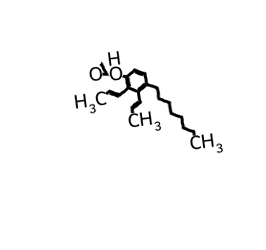 C1CO1.CC=Cc1c(O)ccc(CCCCCCCC)c1C=CC